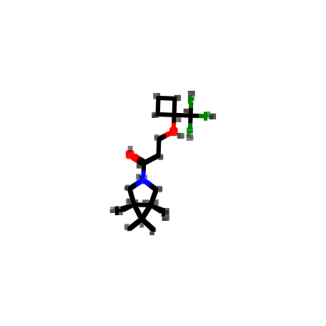 CC1(C)[C@@H]2CN(C(=O)CCOC3(C(F)(F)F)CCC3)C[C@@H]21